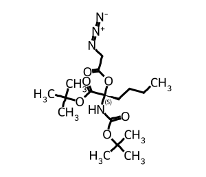 CCCC[C@](NC(=O)OC(C)(C)C)(OC(=O)CN=[N+]=[N-])C(=O)OC(C)(C)C